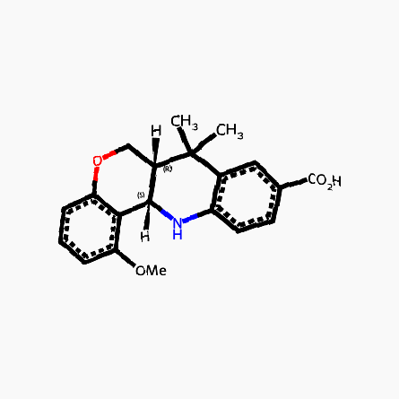 COc1cccc2c1[C@H]1Nc3ccc(C(=O)O)cc3C(C)(C)[C@H]1CO2